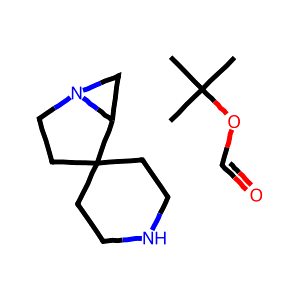 C1CC2(CCN1)CCN1CC12.CC(C)(C)OC=O